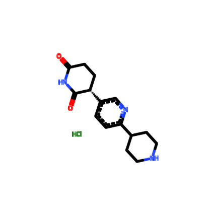 Cl.O=C1CC[C@H](c2ccc(C3CCNCC3)nc2)C(=O)N1